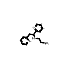 NCCNC(Cc1ccccn1)c1ccccn1